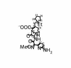 CC[N+]1(CC2=C(C(=O)[O-])N3C(=O)C(NC(=O)/C(=N\OC)c4csc(N)n4)[C@@H]3SC2)CCCC1